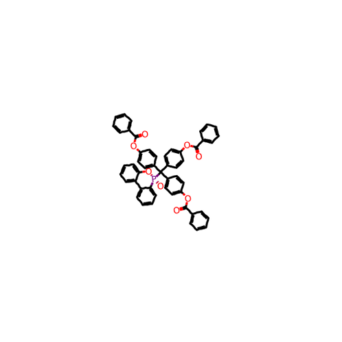 O=C(Oc1ccc(C(c2ccc(OC(=O)c3ccccc3)cc2)(c2ccc(OC(=O)c3ccccc3)cc2)P2(=O)Oc3ccccc3-c3ccccc32)cc1)c1ccccc1